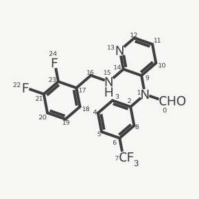 O=CN(c1cccc(C(F)(F)F)c1)c1cccnc1NCc1cccc(F)c1F